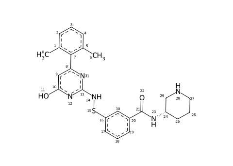 Cc1cccc(C)c1-c1cc(O)nc(NSc2cccc(C(=O)N[C@H]3CCCNC3)c2)n1